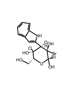 [2H][C@@]1(O)O[C@H](CO)[C@@](O)(Cl)[C@@](O)(c2cc3ccccc3[nH]2)[C@]1(O)Br